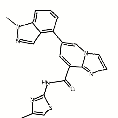 Cc1csc(NC(=O)c2cc(-c3cccc4c3cnn4C)cn3ccnc23)n1